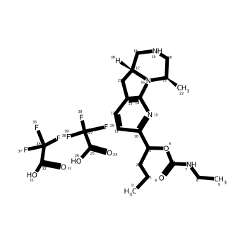 CCCC(OC(=O)NCC)c1ccc2c(n1)N1[C@@H](CNC[C@H]1C)C2.O=C(O)C(F)(F)F.O=C(O)C(F)(F)F